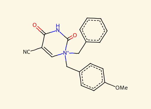 COc1ccc(C[N+]2(Cc3ccccc3)C=C(C#N)C(=O)NC2=O)cc1